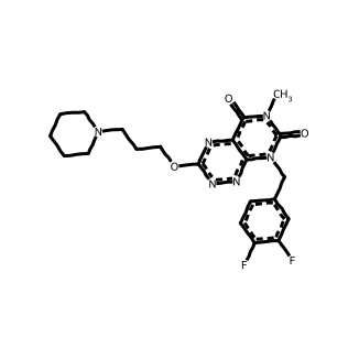 Cn1c(=O)c2nc(OCCCN3CCCCC3)nnc2n(Cc2ccc(F)c(F)c2)c1=O